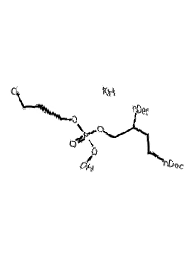 CCCCCCCCCCCCC(CCCCCCCCCC)COP(=O)(OO)OCCCCl.[KH]